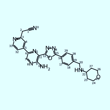 N#CCc1cc(-c2cnc(N)c(-c3nnc(-c4ccc(CNC5CCOCC5)cc4)o3)n2)ccn1